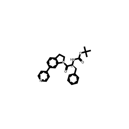 CC(C)(C)OC(=O)N[C@@H](Cc1ccccc1)C(=O)N1CCc2ccc(-c3ccncc3)cc21